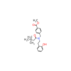 COC(=O)c1ccc(CN(CCc2ccccc2O)C(=O)CC(C)(C)C)cc1